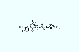 Cc1cc(NC(=O)c2c3c(cn2C)C(NC(=O)OCc2ncn(C)n2)CC3)ccc1F